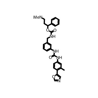 CNCCC(OC(=O)NCc1cccc(NC(=O)Nc2ccc(-c3cnco3)c(C)c2)c1)c1ccccc1